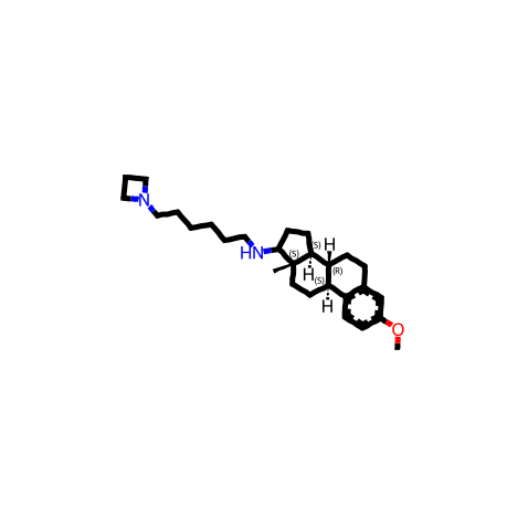 COc1ccc2c(c1)CC[C@@H]1[C@@H]2CC[C@]2(C)C(NCCCCCCN3CCC3)CC[C@@H]12